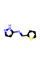 C(=N\c1ccn[nH]1)/c1cccs1